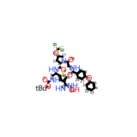 CC(C)(C)OC(=O)NCC(NC(=O)[C@@H]1C[C@@H](OC(F)F)CN1C(=O)CNC(=O)c1ccc(Oc2ccccc2)cc1)c1cc(C(=N)NO)cs1